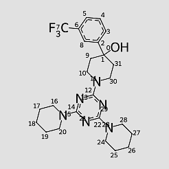 OC1(c2cccc(C(F)(F)F)c2)CCN(c2nc(N3CCCCC3)nc(N3CCCCC3)n2)CC1